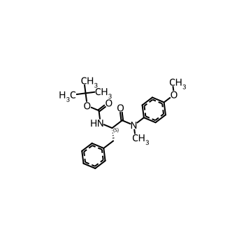 COc1ccc(N(C)C(=O)[C@H](Cc2ccccc2)NC(=O)OC(C)(C)C)cc1